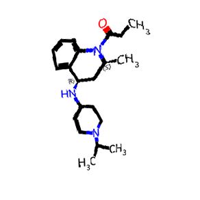 CCC(=O)N1c2ccccc2[C@H](NC2CCN(C(C)C)CC2)C[C@@H]1C